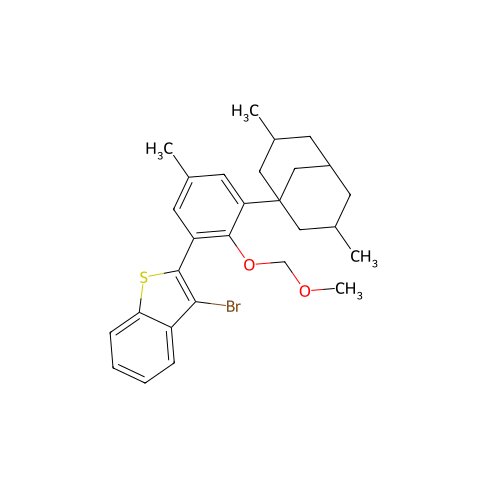 COCOc1c(-c2sc3ccccc3c2Br)cc(C)cc1C12CC(C)CC(CC(C)C1)C2